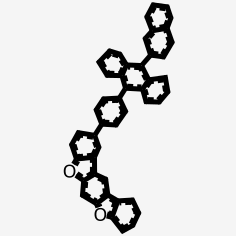 c1ccc2cc(-c3c4ccccc4c(-c4ccc(-c5ccc6oc7cc8oc9ccccc9c8cc7c6c5)cc4)c4ccccc34)ccc2c1